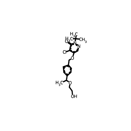 CC(OCCO)c1ccc(COc2cnn(C(C)(C)C)c(=O)c2Cl)cc1